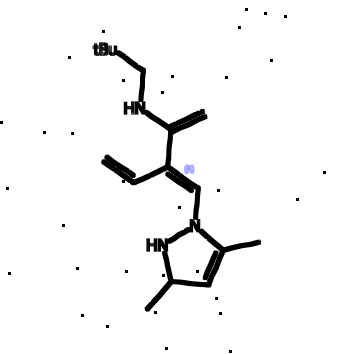 C=C/C(=C\N1NC(C)C=C1C)C(=C)NCC(C)(C)C